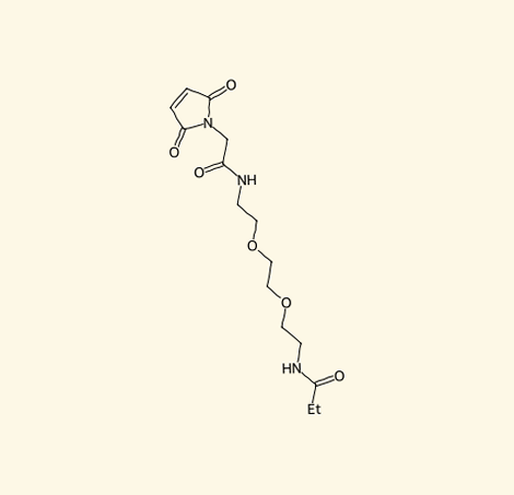 CCC(=O)NCCOCCOCCNC(=O)CN1C(=O)C=CC1=O